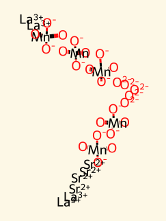 [La+3].[La+3].[La+3].[La+3].[O-2].[O-2].[O-2].[O-2].[O-2].[O]=[Mn](=[O])([O-])[O-].[O]=[Mn](=[O])([O-])[O-].[O]=[Mn](=[O])([O-])[O-].[O]=[Mn](=[O])([O-])[O-].[O]=[Mn](=[O])([O-])[O-].[Sr+2].[Sr+2].[Sr+2].[Sr+2]